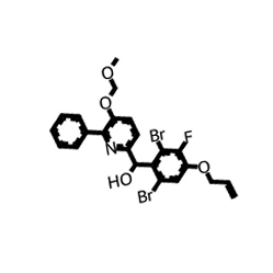 C=CCOc1cc(Br)c(C(O)c2ccc(OCOC)c(-c3ccccc3)n2)c(Br)c1F